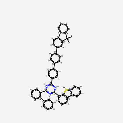 CC1(C)c2ccccc2-c2ccc(-c3ccc(-c4ccc(-c5nc(-c6ccccc6-c6ccccc6)nc(-c6cccc7c6sc6ccccc67)n5)cc4)cc3)cc21